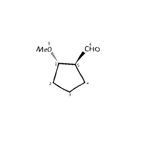 CO[C@H]1CCC[C@@H]1C=O